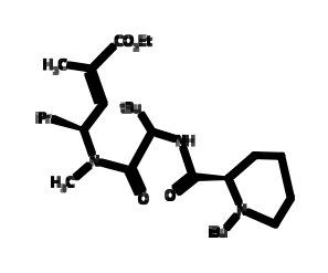 CCOC(=O)/C(C)=C/[C@H](C(C)C)N(C)C(=O)C(NC(=O)[C@H]1CCCCN1C(C)CC)C(C)(C)C